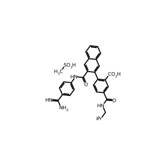 CC(C)CNC(=O)c1ccc(-c2cc3ccccc3cc2C(=O)Nc2ccc(C(=N)N)cc2)c(C(=O)O)c1.CS(=O)(=O)O